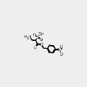 NCC(C(=O)OCc1ccc([N+](=O)[O-])cc1)S(=O)(=O)O